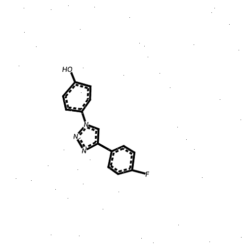 Oc1ccc(-n2cc(-c3ccc(F)cc3)nn2)cc1